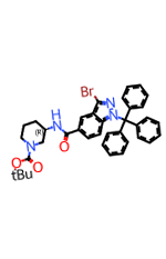 CC(C)(C)OC(=O)N1CCC[C@@H](NC(=O)c2ccc3c(c2)c(Br)nn3C(c2ccccc2)(c2ccccc2)c2ccccc2)C1